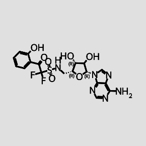 Nc1ncnc2c1ncn2[C@@H]1O[C@H](CNS(=O)(=O)C(F)(F)C(=O)c2ccccc2O)[C@H](O)C1O